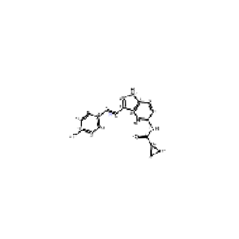 O=C(Nc1ccc2[nH]nc(/C=C/c3ccc(F)cc3)c2n1)C1CC1